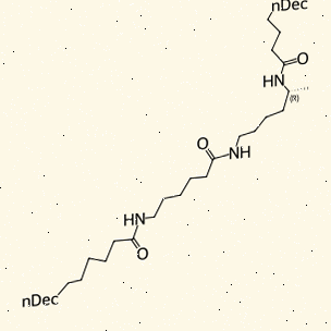 CCCCCCCCCCCCCCCC(=O)NCCCCCC(=O)NCCCC[C@@H](C)NC(=O)CCCCCCCCCCCCC